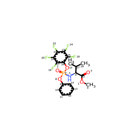 COC(=O)[C@@H](NP(=O)(Oc1ccccc1)Oc1c(F)c(F)c(F)c(F)c1F)C(C)C